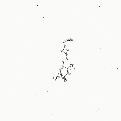 COCC1CN(CCc2cn(C)c(=O)cc2C(F)(F)F)C1